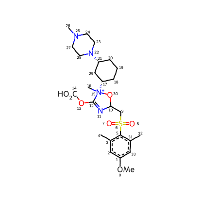 COc1cc(C)c(S(=O)(=O)CC2N=C(OC(=O)O)[N+](C)([C@H]3CCC[C@@H](N4CCN(C)CC4)C3)O2)c(C)c1